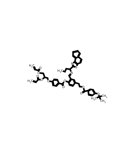 C=CC(=O)OCC(COc1ccc(C(=O)Oc2ccc(CCOC(=O)c3ccc(OC(C)(C)C)cc3)cc2/C=N/C(CCC)c2nc3c(ccc4ccccc43)s2)cc1)OC(=O)C=C